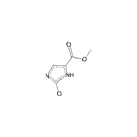 COC(=O)c1cnc(Cl)[nH]1